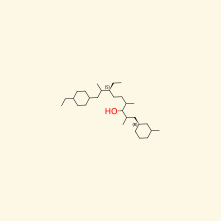 CCC1CCC(CC(C)[C@@H](CC)CCC(C)C(O)C(C)C[C@@H]2CCCC(C)C2)CC1